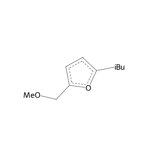 CCC(C)c1ccc(COC)o1